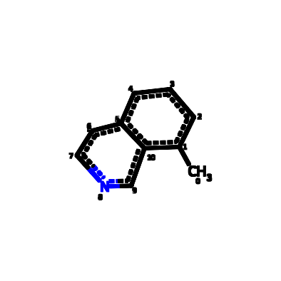 Cc1cccc2[c]cncc12